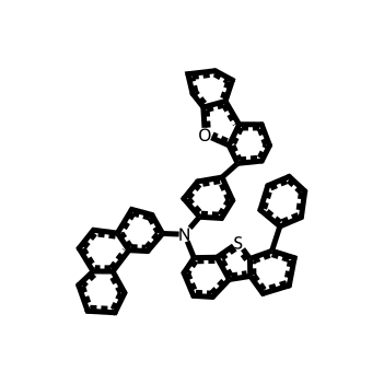 c1ccc(-c2cccc3c2sc2c(N(c4ccc(-c5cccc6c5oc5ccccc56)cc4)c4ccc5ccc6ccccc6c5c4)cccc23)cc1